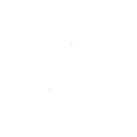 CC1(NS(=O)(=O)c2ccc3ccc(Cl)nc3c2)CC1